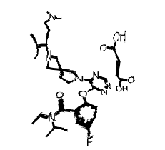 CCN(C(=O)c1cc(F)ccc1Oc1nncnc1N1CCC2(C1)CN(C(CCN(C)C)C(C)C)C2)C(C)C.O=C(O)/C=C/C(=O)O